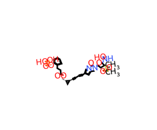 CC(CCN1Cc2cc(C#CC#C[C@H]3C[C@@H]3COC(=O)CCc3ccccc3OP(=O)(O)O)cn2C1=O)(C(=O)NO)S(C)(=O)=O